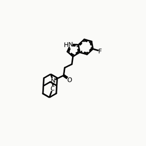 O=C(CCc1c[nH]c2ccc(F)cc12)N1CC2CC3CC(C2)CC1C3